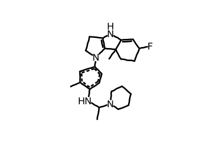 Cc1cc(N2CCC3=C2C2(C)CCC(F)C=C2N3)ccc1NC(C)N1CCCCC1